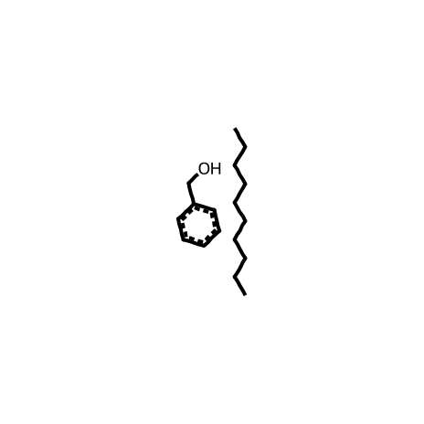 CCCCCCCCCC.OCc1ccccc1